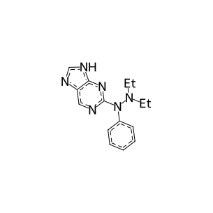 CCN(CC)N(c1ccccc1)c1ncc2nc[nH]c2n1